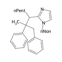 CCCCCCCCCn1ccnc1C(CCCCC)C(C)(Cc1ccccc1)c1ccccc1